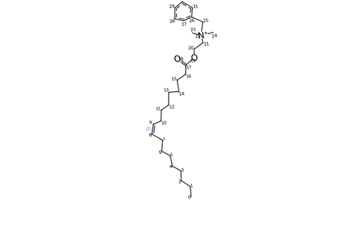 CCCCCCCC/C=C\CCCCCCCC(=O)OCC[N+](C)(C)Cc1ccccc1